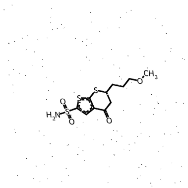 COCCCC1CC(=O)c2cc(S(N)(=O)=O)sc2S1